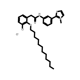 CCCCCCCCCCCCOc1c(Cl)cccc1CC(=O)Nc1cccc(-c2scc[n+]2C)c1.[Cl-]